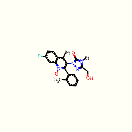 CCn1c(CO)nn(-c2c(C(C)C)c3ccc(F)cc3[n+]([O-])c2-c2ccccc2C)c1=O